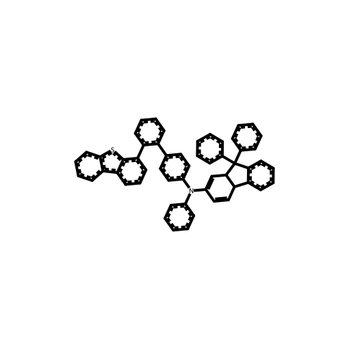 C1=CC2c3ccccc3C(c3ccccc3)(c3ccccc3)C2C=C1N(c1ccccc1)c1ccc(-c2ccccc2-c2cccc3c2sc2ccccc23)cc1